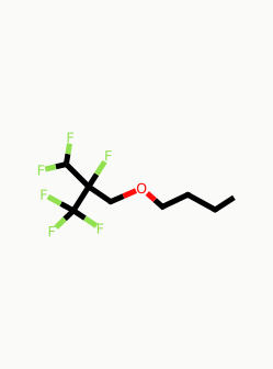 CCCCOCC(F)([C](F)F)C(F)(F)F